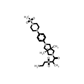 CC(C(=O)N1C[C@@]2(C)CN(c3ccc(N4CCN(S(C)(=O)=O)CC4)cc3)C[C@@]2(C)C1)S(=O)(=O)CCN